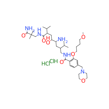 COCCCCOc1cc(CN2CCOCC2)ccc1C(=O)NCC(CC(N)C(O)CC(C(=O)NCC(C)(C)C(N)=O)C(C)C)C(C)C.Cl.Cl